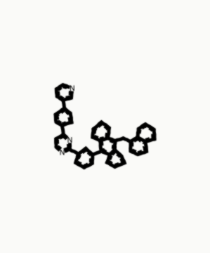 c1cncc(-c2ccc(-c3ccnc(-c4cccc(-c5c6ccccc6c(Cc6cccc7ccccc67)c6ccccc56)c4)n3)cc2)c1